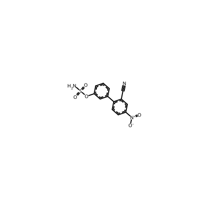 N#Cc1cc([N+](=O)[O-])ccc1-c1cccc(OS(N)(=O)=O)c1